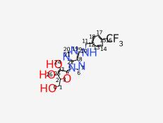 OCC1OC(n2cnc3c(NCc4ccc(C(F)(F)F)cc4)ncnc32)C(O)C1O